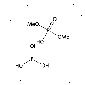 COP(=O)(O)OC.OP(O)O